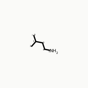 [CH]C(C)CCN